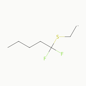 [CH2]CSC(F)(F)CCCC